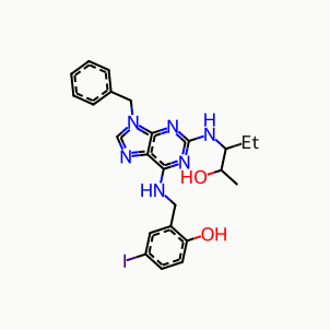 CCC(Nc1nc(NCc2cc(I)ccc2O)c2ncn(Cc3ccccc3)c2n1)C(C)O